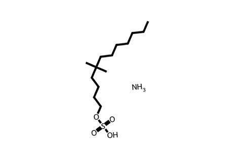 CCCCCCCC(C)(C)CCCCOS(=O)(=O)O.N